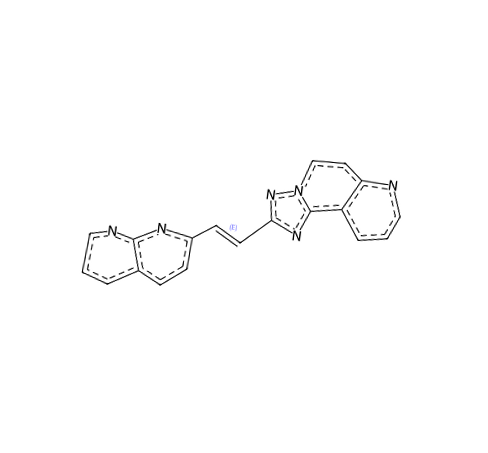 C(=C\c1nc2c3cccnc3ccn2n1)/c1ccc2cccnc2n1